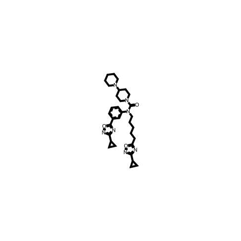 O=C(N1CCC(N2CCCCC2)CC1)N(CCCCCc1nc(C2CC2)no1)c1cccc(-c2nc(C3CC3)no2)c1